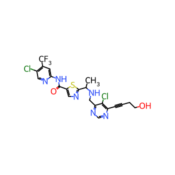 CC(NCc1ncnc(C#CCCO)c1Cl)c1ncc(C(=O)Nc2cc(C(F)(F)F)c(Cl)cn2)s1